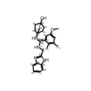 COc1cc(F)c(C[C@@H](NC(=O)NC23CCC(O)(CC2)CC3)c2nc3ccccc3[nH]2)c(F)c1